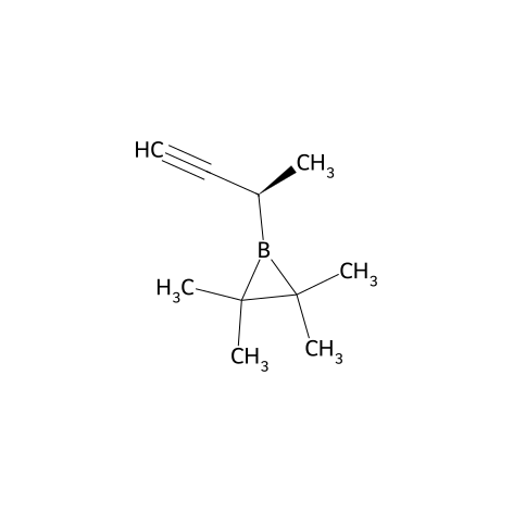 C#C[C@@H](C)B1C(C)(C)C1(C)C